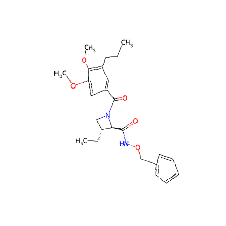 CCCc1cc(C(=O)N2C[C@@H](CC)[C@@H]2C(=O)NOCc2ccccc2)cc(OC)c1OC